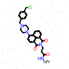 CCCNC(=O)CCN1C(=O)c2cccc3c(N4CCN(Cc5ccc(CCl)cc5)CC4)ccc(c23)C1=O